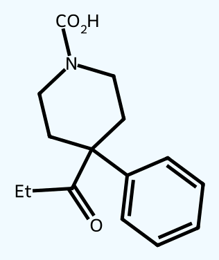 CCC(=O)C1(c2ccccc2)CCN(C(=O)O)CC1